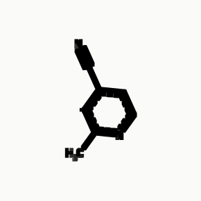 Cc1[c]c(C#N)ccn1